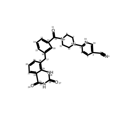 N#Cc1ccc(N2CCN(C(=O)c3cccc(Cc4cccc5c(=O)[nH]c(=O)[nH]c45)c3)CC2)nc1